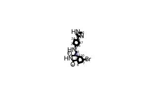 O=C1NC(=O)c2ccc(Br)cc2/C1=C/Nc1ccc(-c2c[nH]cn2)cc1